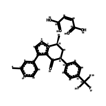 Cc1cc(-c2cnn3c2C(=O)N(c2ccc(C(F)(F)F)cc2)C[C@@H]3C)ccn1.O=C(O)/C=C\C(=O)O